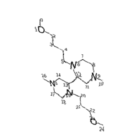 COCCCCN1CCN(C)CC1C1CN(C)CCN1CCCOC